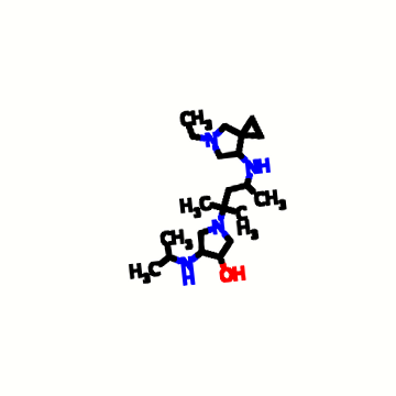 CCN1CC(NC(C)CC(C)(C)N2CC(O)C(NC(C)C)C2)C2(CC2)C1